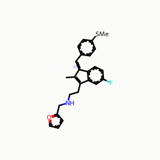 CSc1ccc(/C=C2/C(C)=C(CCNCc3ccco3)c3cc(F)ccc32)cc1